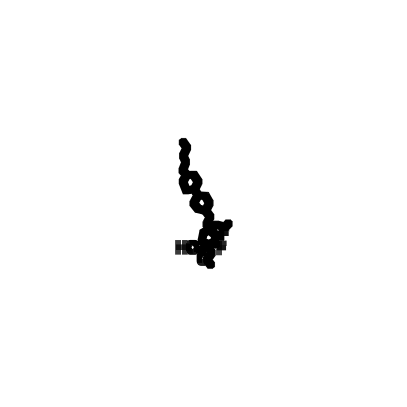 CCCCCC1CCC(C2CCC(CCC3(CCC)CCC(CCC)(C(=O)O)C(F)C3F)CC2)CC1